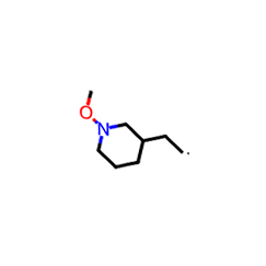 [CH2]CC1CCCN(OC)C1